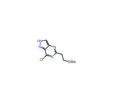 COCCc1nc(Cl)c2n[nH]cc2n1